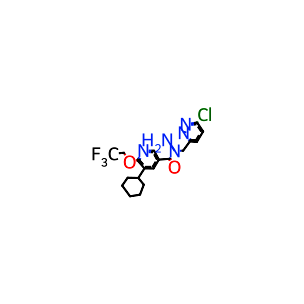 NN(Cc1ccc(Cl)nn1)C(=O)c1cnc(OCC(F)(F)F)c(C2CCCCC2)c1